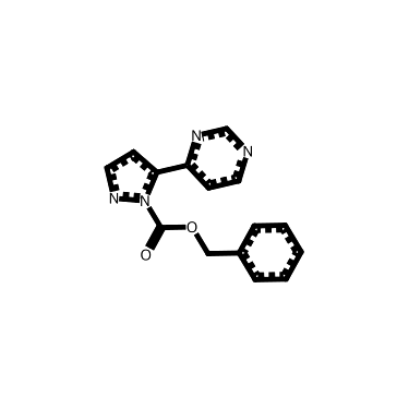 O=C(OCc1ccccc1)n1nccc1-c1ccncn1